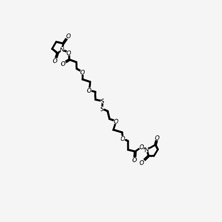 O=C(CCOCCOCCSSCCOCCOCCC(=O)ON1C(=O)CCC1=O)ON1C(=O)CCC1=O